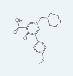 CSc1ccc(-c2cn(CC3CCOCC3)cc(C(=O)O)c2=O)cc1